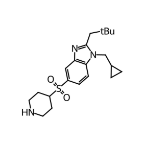 CC(C)(C)Cc1nc2cc(S(=O)(=O)C3CCNCC3)ccc2n1CC1CC1